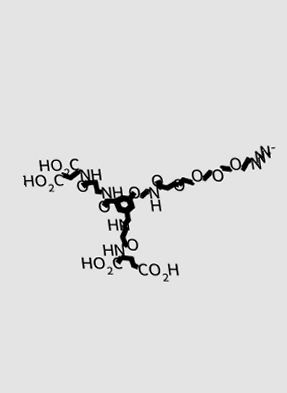 [N-]=[N+]=NCCOCCOCCOCCOCCC(=O)NCCOc1cc(CNCCC(=O)NC(CCC(=O)O)C(=O)O)cc(C(=O)NCCC(=O)NC(CCC(=O)O)C(=O)O)c1